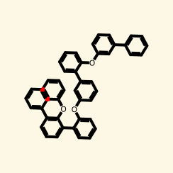 c1ccc(Oc2c(-c3ccccc3)cccc2-c2ccccc2Oc2cccc(-c3ccccc3Oc3cccc(-c4ccccc4)c3)c2)cc1